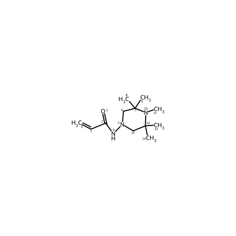 C=CC(=O)NN1CC(C)(C)N(C)C(C)(C)C1